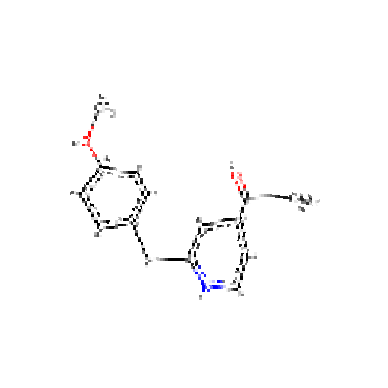 COC(=O)c1ccnc(Cc2ccc(OC(F)(F)F)cc2)c1